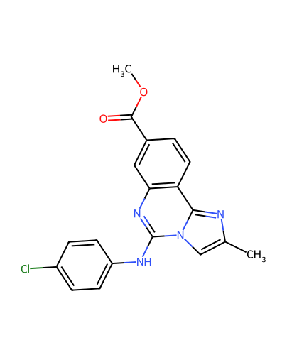 COC(=O)c1ccc2c(c1)nc(Nc1ccc(Cl)cc1)n1cc(C)nc21